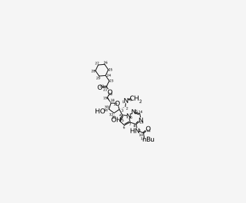 C=NC[C@@]1(c2ccc3c(NC(=O)CCCC)ncnn23)O[C@H](COC(=O)CC2CCCCC2)[C@@H](O)[C@H]1O